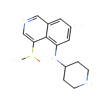 C[S+]([O-])c1cncc2cccc(NC3CCNCC3)c12.Cl